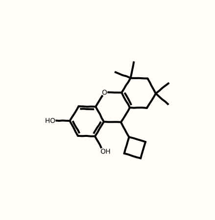 CC1(C)CC2=C(Oc3cc(O)cc(O)c3C2C2CCC2)C(C)(C)C1